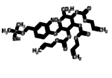 C=CCOC(=O)OC1C(Oc2ccc(CO[Si](C)(C)C(C)(C)C)cc2[N+](=O)[O-])OC(C(=O)O)C(OC(=O)OCC=C)C1OC(=O)OCC=C